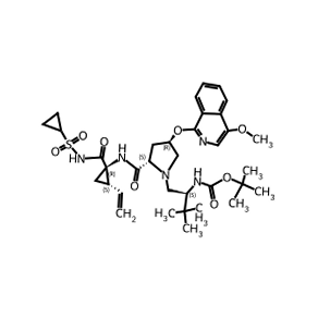 C=C[C@@H]1C[C@]1(NC(=O)[C@@H]1C[C@@H](Oc2ncc(OC)c3ccccc23)CN1C[C@@H](NC(=O)OC(C)(C)C)C(C)(C)C)C(=O)NS(=O)(=O)C1CC1